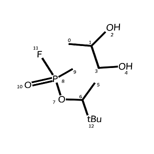 CC(O)CO.CC(OP(C)(=O)F)C(C)(C)C